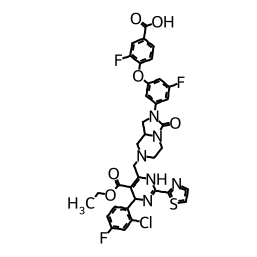 CCOC(=O)C1=C(CN2CCN3C(=O)N(c4cc(F)cc(Oc5ccc(C(=O)O)cc5F)c4)CC3C2)NC(c2nccs2)=NC1c1ccc(F)cc1Cl